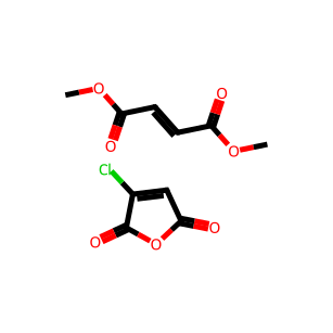 COC(=O)C=CC(=O)OC.O=C1C=C(Cl)C(=O)O1